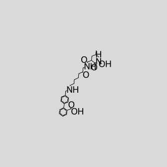 CC(C)CC(C(=O)NO)C(=O)NCC(=O)CCCCCNCc1ccc(-c2ccccc2C(=O)O)cc1